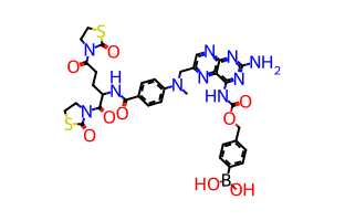 CN(Cc1cnc2nc(N)nc(NC(=O)OCc3ccc(B(O)O)cc3)c2n1)c1ccc(C(=O)NC(CCC(=O)N2CCSC2=O)C(=O)N2CCSC2=O)cc1